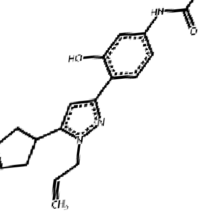 C=CCn1nc(-c2ccc(NC(=O)CC)cc2O)cc1C1CCCC1